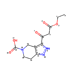 CCOC(=O)CC(=O)c1[nH]nc2c1CN(C(=O)O)CC2